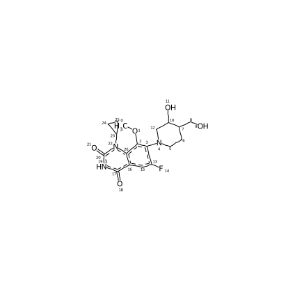 COc1c(N2CCC(CO)C(O)C2)c(F)cc2c(=O)[nH]c(=O)n(C3CC3)c12